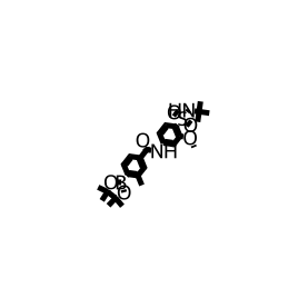 COc1cc(NC(=O)c2ccc(B3OC(C)(C)C(C)(C)O3)c(C)c2)ccc1S(=O)(=O)NC(C)(C)C